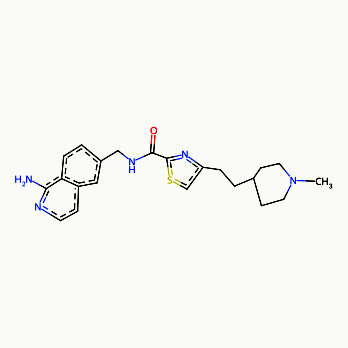 CN1CCC(CCc2csc(C(=O)NCc3ccc4c(N)nccc4c3)n2)CC1